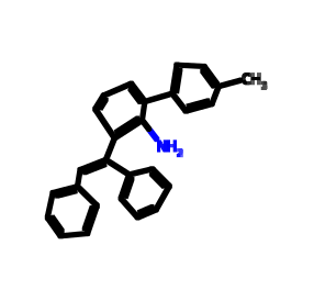 Cc1ccc(-c2cccc(C(=Cc3ccccc3)c3ccccc3)c2N)cc1